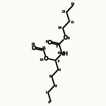 CCCCCC(NC(=O)OCCCC)O[C]=O